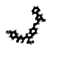 CCc1sc(-c2ccccc2)nc1COc1ccc(C[C@H](N/C(C)=C/C(=O)c2ccc(C(F)(F)F)cc2)C(=O)O)cc1